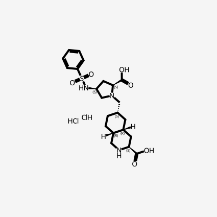 Cl.Cl.O=C(O)[C@@H]1C[C@H]2C[C@@H](CN3C[C@@H](NS(=O)(=O)c4ccccc4)C[C@H]3C(=O)O)CC[C@H]2CN1